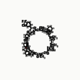 CC[C@H](C)[C@@H]1NC(=O)CCN(C)C(=O)CN(C)C(=O)[C@H](C2CCCC2)N(C)C(=O)C2(CCCC2)NC(=O)[C@@H]2CCCN2C(=O)[C@H](CCc2ccc(C(F)(F)F)c(Cl)c2)NC(=O)CN(C)C(=O)[C@H](CC2CCCCC2)N(C)C(=O)CN(C)C(=O)CN(C)C1=O